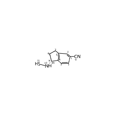 N#Cc1ccc2c(c1)CC[C@H]2NS